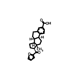 C[C@]12CC[C@@H]3c4ccc(C(=O)O)cc4CC[C@H]3[C@@H]1CC[C@@H]2C(=O)c1ccco1